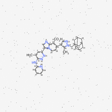 Cc1cc(-c2cnc3c(C(=O)O)c(-c4cnn(CC56CC7CC(CC(C7)C5)C6)c4C)ccn23)nnc1Nc1ccccn1